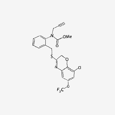 C#CCN(C(=O)OC)c1ccccc1CSC1=Nc2cc(OC(F)(F)F)cc(Cl)c2OC1